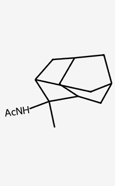 CC(=O)NC1(C)C2CC3CC(C2)CC1C3